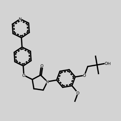 COc1cc(N2CCC(Oc3ccc(-c4ccncc4)cc3)C2=O)ccc1OCC(C)(C)O